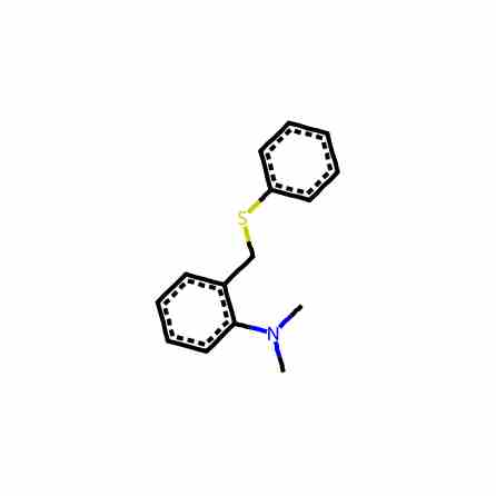 CN(C)c1ccccc1CSc1ccccc1